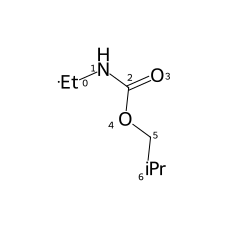 C[CH]NC(=O)OCC(C)C